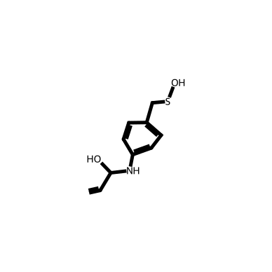 C=CC(O)Nc1ccc(CSO)cc1